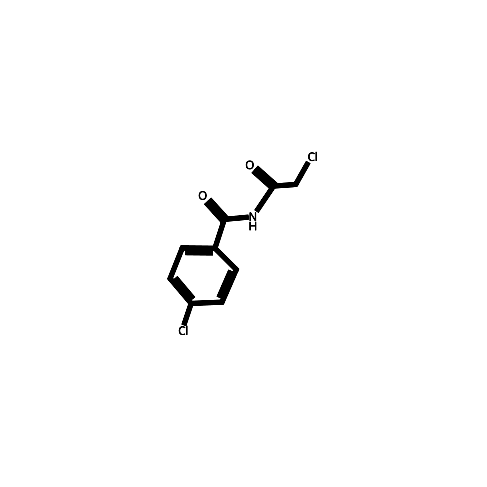 O=C(CCl)NC(=O)c1ccc(Cl)cc1